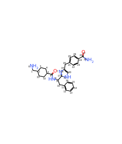 NCC1CCC(C(=O)NC(Cc2ccccc2)c2nc(Cc3ccc(C(N)=O)cc3)c[nH]2)CC1